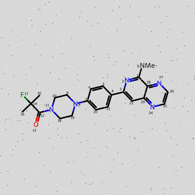 CNc1nc(-c2ccc(N3CCN(C(=O)C(C)(C)F)CC3)cc2)cc2nccnc12